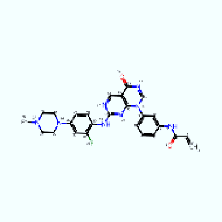 C=CC(=O)Nc1cccc(-n2cnc(=O)c3cnc(Nc4ccc(N5CCN(CC)CC5)cc4F)nc32)c1